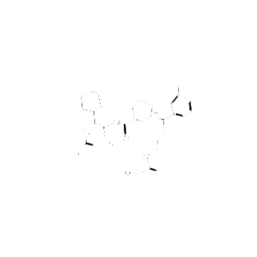 COC(=O)NCCOC(c1cccc(Cl)c1)[C@@H]1CCCN(C(=NC#N)NC(C)C(C2CCCCC2)N(C)C(=O)OC(C)(C)C)C1